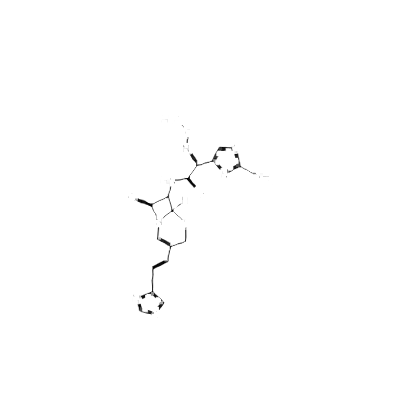 CON=C(C(=O)NC1C(=O)N2C=C(C=Cc3cscn3)CS[C@@H]12)c1csc(N)n1